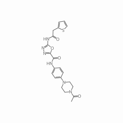 CC(=O)N1CCN(c2ccc(NC(=O)c3nnc(NC(=O)Cc4cccs4)o3)cc2)CC1